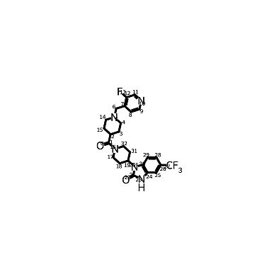 O=C(C1CCN(Cc2ccncc2F)CC1)N1CCC(n2c(=O)[nH]c3cc(C(F)(F)F)ccc32)CC1